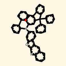 c1ccc(-c2ccccc2N(c2ccc3c(c2)C(c2ccccc2)(c2ccccc2)c2ccccc2-3)c2ccc3c(c2)oc2nc4ccccc4cc23)cc1